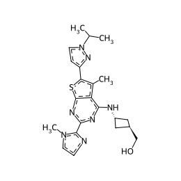 Cc1c(-c2ccn(C(C)C)n2)sc2nc(-c3nccn3C)nc(N[C@H]3C[C@H](CO)C3)c12